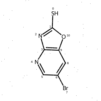 Sc1nc2ncc(Br)cc2o1